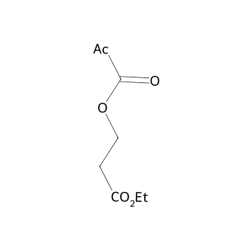 CCOC(=O)CCOC(=O)C(C)=O